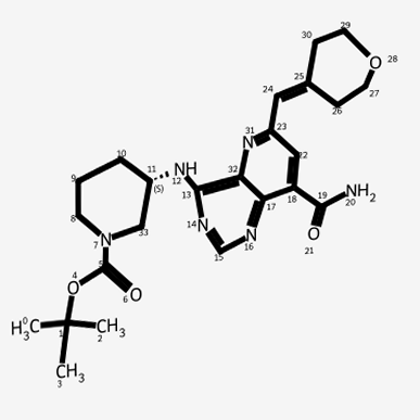 CC(C)(C)OC(=O)N1CCC[C@H](Nc2ncnc3c(C(N)=O)cc(C=C4CCOCC4)nc23)C1